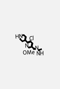 CO/C(=N\C(C)=N)c1cnc(C2=CCNCC2)c(Cl)c1